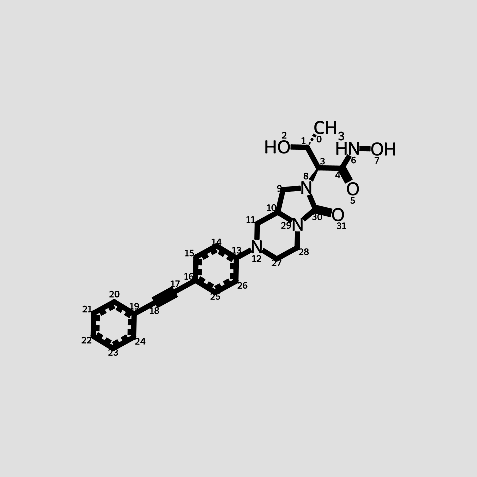 C[C@@H](O)[C@@H](C(=O)NO)N1CC2CN(c3ccc(C#Cc4ccccc4)cc3)CCN2C1=O